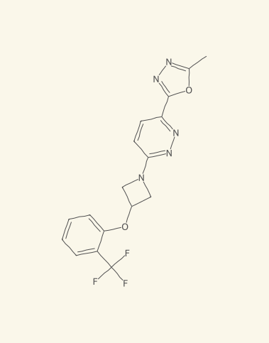 Cc1nnc(-c2ccc(N3CC(Oc4ccccc4C(F)(F)F)C3)nn2)o1